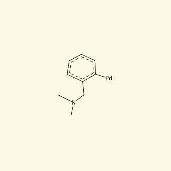 CN(C)Cc1cccc[c]1[Pd]